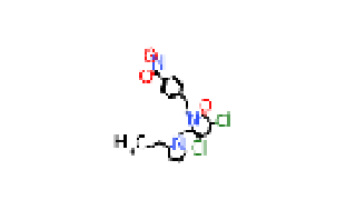 CCCC1CCCN1Cc1c(Cl)cc(Cl)c(=O)n1CCc1ccc(C(=O)N=O)cc1